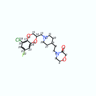 O=C1COCCN1CCC1CCN(CC2COc3c(Cl)cc(F)cc3O2)CC1